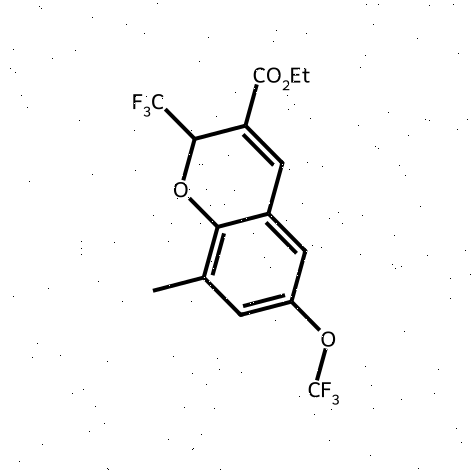 CCOC(=O)C1=Cc2cc(OC(F)(F)F)cc(C)c2OC1C(F)(F)F